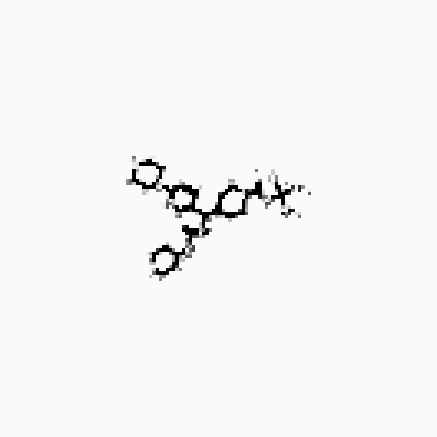 CC(C)(C)OC(=O)N1CCC(C(NC(=O)NC2CCOCC2)c2ccc(N3CCOCC3)nc2)CC1